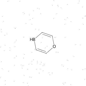 B1C=COC=C1